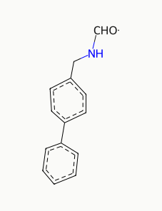 O=[C]NCc1ccc(-c2ccccc2)cc1